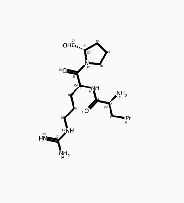 CC(C)C[C@H](N)C(=O)N[C@@H](CCCNC(=N)N)C(=O)N1CCC[C@H]1[C]=O